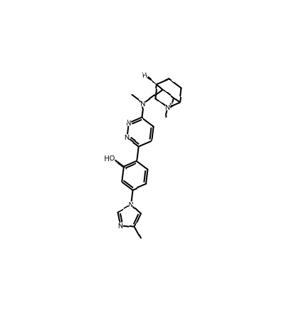 Cc1cn(-c2ccc(-c3ccc(N(C)C4C(F)C5CC[C@H]4CN5C)nn3)c(O)c2)cn1